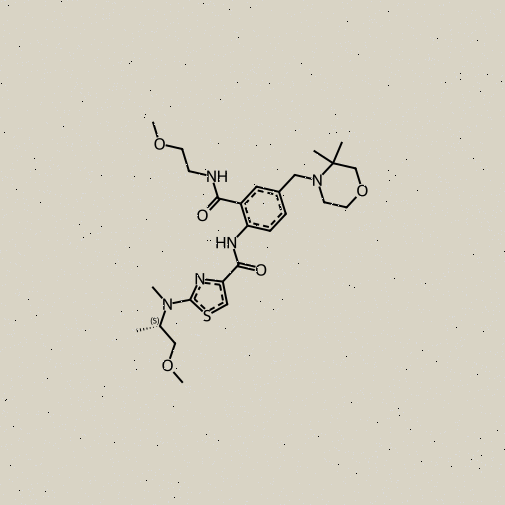 COCCNC(=O)c1cc(CN2CCOCC2(C)C)ccc1NC(=O)c1csc(N(C)[C@@H](C)COC)n1